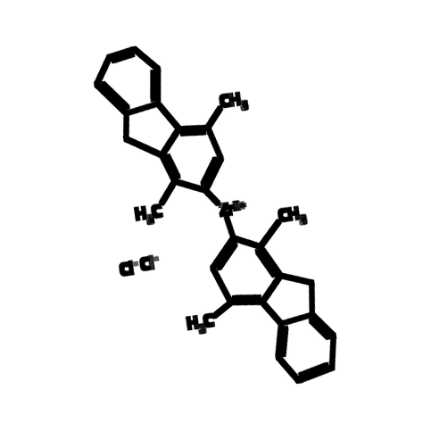 Cc1c[c]([Zr+2][c]2cc(C)c3c(c2C)Cc2ccccc2-3)c(C)c2c1-c1ccccc1C2.[Cl-].[Cl-]